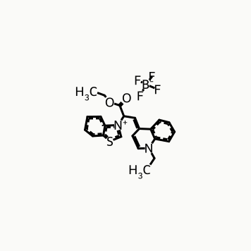 CCOC(=O)C(C=C1C=CN(CC)c2ccccc21)[n+]1csc2ccccc21.F[B-](F)(F)F